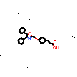 O=C(O)CCc1ccc(OCc2nc(-c3ccccc3)c(-c3ccccc3)o2)cc1